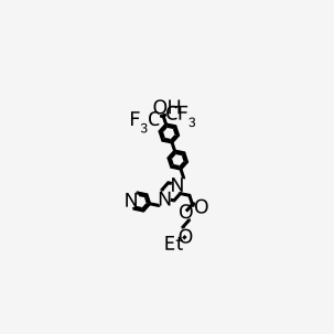 CCOCCOC(=O)CC1CN(Cc2ccncc2)CCN1Cc1ccc(-c2ccc(C(O)(C(F)(F)F)C(F)(F)F)cc2)cc1